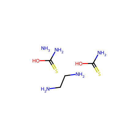 N.NC(O)=S.NC(O)=S.NCCN